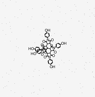 CC1C(=O)N(c2ccc(O)cc2)C(=O)C1C1C(=O)N(c2ccc(O)cc2)C(=O)C1C1C(=O)N(c2ccc(O)cc2)C(=O)C1C1C(=O)N(c2ccc(O)cc2)C(=O)C1C1C(=O)N(c2ccc(O)cc2)C(=O)C1C